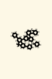 CC1(C)c2ccc(-c3cccc(N(c4ccccc4)c4ccc(-c5cccc6sc7ccccc7c56)cc4)c3)cc2-c2c(-c3ccccc3)cc(-c3ccccc3)cc21